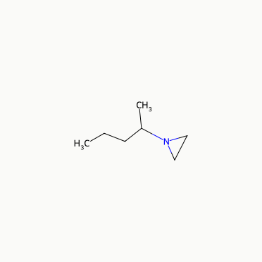 CCCC(C)N1CC1